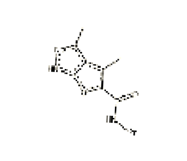 Cc1n[nH]c2oc(C(=O)NC(C)C)c(C)c12